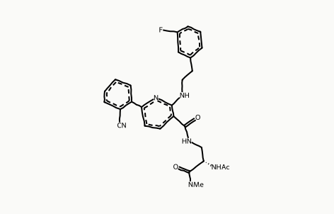 CNC(=O)[C@H](CNC(=O)c1ccc(-c2ccccc2C#N)nc1NCCc1cccc(F)c1)NC(C)=O